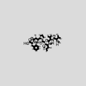 CC[C@H](C)C([C@@H](CC(=O)N1CCC[C@H]1[C@H](OC)[C@@H](C)C(=O)N[C@@H](Cc1ccccc1)C(O)O)OC)N(C)C(=O)[C@@H](NC(=O)[C@@H](NC)C(C)C)C(C)C